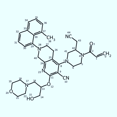 C=CC(=O)N1CCN(c2c(C#N)c(OC(CO)CN3CCOCC3)nc3c2CCN(c2cccc4cccc(C)c24)C3)CC1CC#N